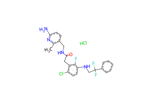 Cc1nc(N)ccc1CNC(=O)Cc1c(Cl)ccc(NCC(F)(F)c2ccccc2)c1F.Cl